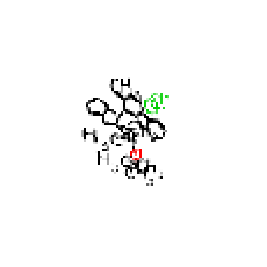 CC=c1ccc2c(c1C1C([Si](C)(C)CCO[Si](C)(C)C)=Cc3ccccc31)[C]([Zr+2])=c1ccccc1=2.[Cl-].[Cl-]